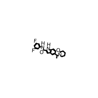 CC(c1ccc2[nH]c(C(=O)Nc3cc(F)cc(F)c3)cc2c1)N1CCCCC1=O